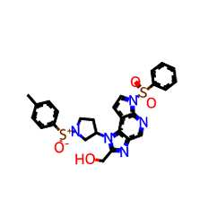 Cc1ccc([S+]([O-])N2CCC(n3c(CO)nc4cnc5c(ccn5S(=O)(=O)c5ccccc5)c43)C2)cc1